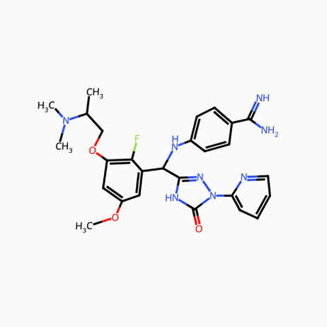 COc1cc(OCC(C)N(C)C)c(F)c(C(Nc2ccc(C(=N)N)cc2)c2nn(-c3ccccn3)c(=O)[nH]2)c1